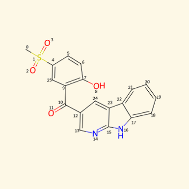 CS(=O)(=O)c1ccc(O)c(C(=O)c2cnc3[nH]c4ccccc4c3c2)c1